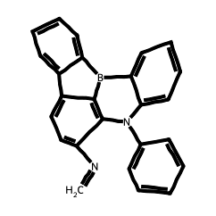 C=Nc1ccc2c3c1N(c1ccccc1)c1ccccc1B3c1ccccc1-2